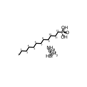 Br.CCCCCCCCCCCCP(=O)(O)O.N.N.N